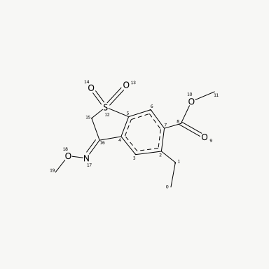 CCc1cc2c(cc1C(=O)OC)S(=O)(=O)CC2=NOC